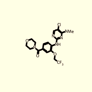 CNc1nc(Nc2ccc(C(=O)N3CCOCC3)cc2OCC(F)(F)F)ncc1Cl